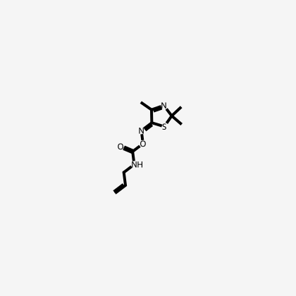 C=CCNC(=O)ON=C1SC(C)(C)N=C1C